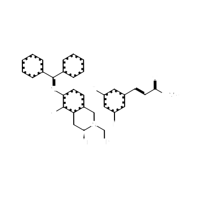 COC(=O)/C=C/c1cc(F)c([C@H]2c3ccc(N=C(c4ccccc4)c4ccccc4)c(C)c3C[C@H](C)N2CC(C)C)c(F)c1